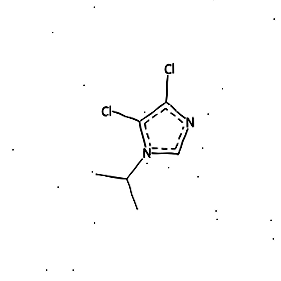 CC(C)n1cnc(Cl)c1Cl